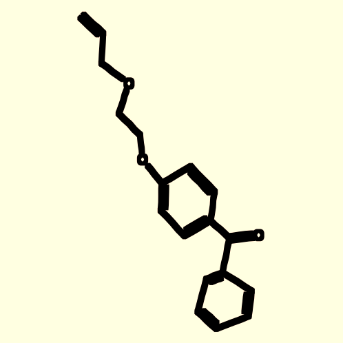 C=CCOCCOc1ccc(C(=O)c2ccccc2)cc1